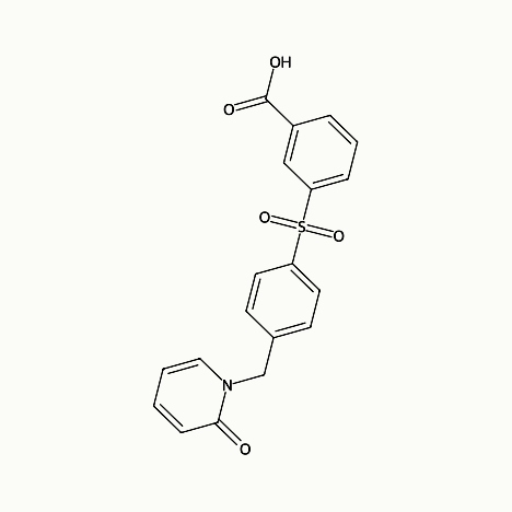 O=C(O)c1cccc(S(=O)(=O)c2ccc(Cn3ccccc3=O)cc2)c1